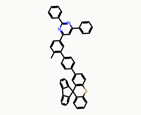 Cc1ccc(-c2cc(-c3ccccc3)nc(-c3ccccc3)n2)cc1-c1ccc(-c2ccc3c(c2)C2(c4ccccc4S3)c3ccccc3-c3ccccc32)cc1